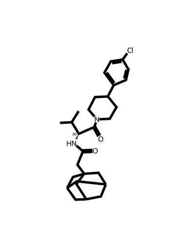 CC(C)[C@@H](NC(=O)CC12CC3CC(CC(C3)C1)C2)C(=O)N1CCC(c2ccc(Cl)cc2)CC1